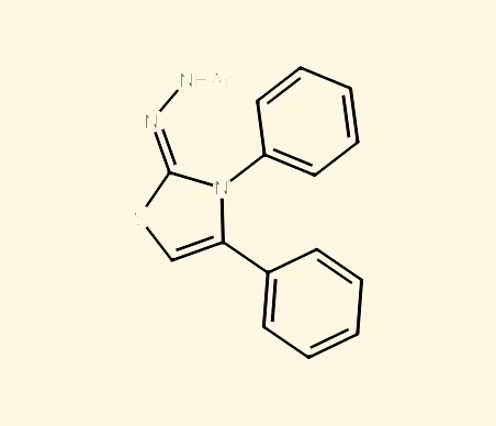 CC(=O)NN=c1scc(-c2ccccc2)n1-c1ccccc1